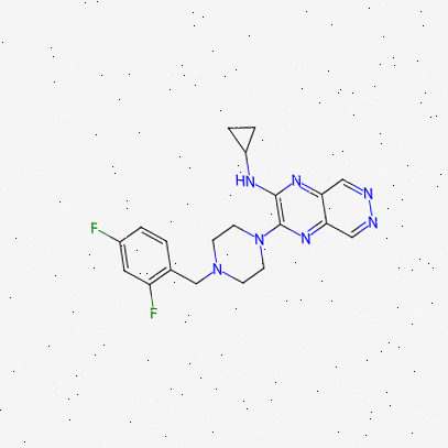 Fc1ccc(CN2CCN(c3nc4cnncc4nc3NC3CC3)CC2)c(F)c1